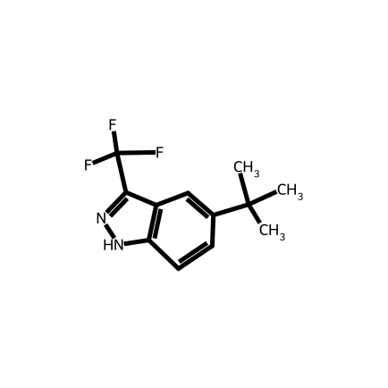 CC(C)(C)c1ccc2[nH]nc(C(F)(F)F)c2c1